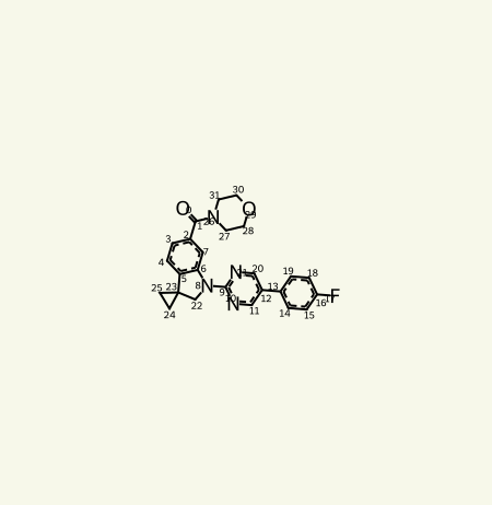 O=C(c1ccc2c(c1)N(c1ncc(-c3ccc(F)cc3)cn1)CC21CC1)N1CCOCC1